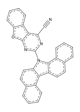 N#Cc1nc(-n2c3ccc4ccccc4c3c3ccc4ccccc4c32)nc2oc3ccccc3c12